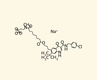 CN(CCS(=O)(=O)[O-])C(=O)CCCCCCC(=O)OCCCc1cc2c(=O)c(C(=O)NCc3ccc(Cl)cc3)c[nH]c2cc1C(C)(C)C.[Na+]